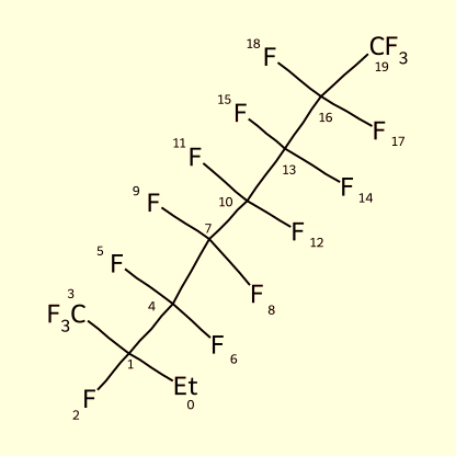 [CH2]CC(F)(C(F)(F)F)C(F)(F)C(F)(F)C(F)(F)C(F)(F)C(F)(F)C(F)(F)F